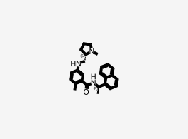 Cc1ccc(NC[C@@H]2CCCN2C)cc1C(=O)N[C@H](C)c1cccc2ccccc12